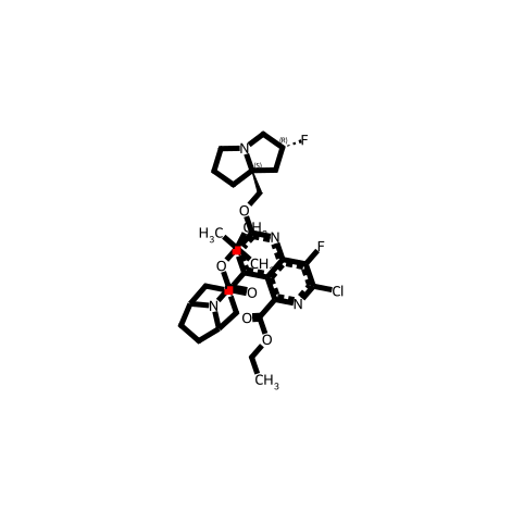 CCOC(=O)c1nc(Cl)c(F)c2nc(OC[C@@]34CCCN3C[C@H](F)C4)nc(N3CC4CCC(C3)N4C(=O)OC(C)(C)C)c12